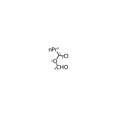 CCCC(Cl)OC=O